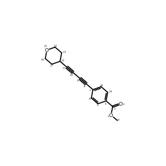 COC(=O)c1ccc(C#CC#CC2CCOCC2)cc1